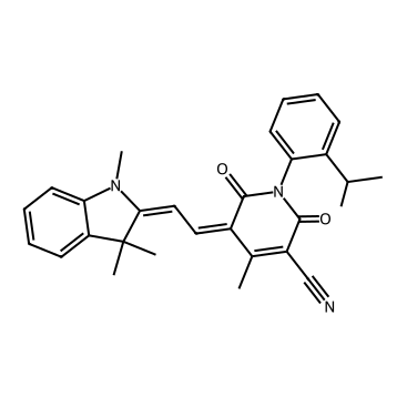 CC1=C(C#N)C(=O)N(c2ccccc2C(C)C)C(=O)/C1=C\C=C1\N(C)c2ccccc2C1(C)C